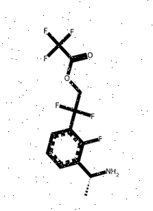 C[C@@H](N)c1cccc(C(F)(F)COC(=O)C(F)(F)F)c1F